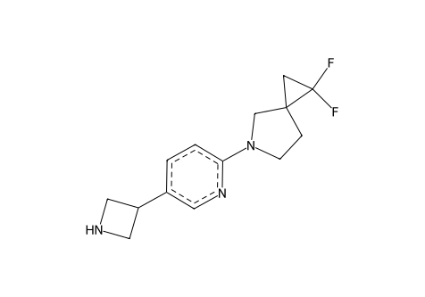 FC1(F)CC12CCN(c1ccc(C3CNC3)cn1)C2